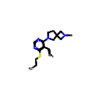 C=Cc1c(SCCC(F)(F)F)ncnc1N1CCC2(CN(CC)C2)C1